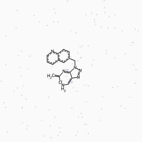 C=C(Cl)/N=C1\C(=C/N)N=NN1Cc1ccc2ncccc2c1